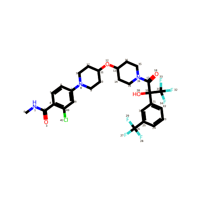 CNC(=O)c1ccc(N2CCC(OC3CCN(C(=O)C(O)(c4cccc(C(F)(F)F)c4)C(F)(F)F)CC3)CC2)cc1Cl